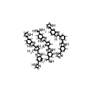 Cn1c(-c2nc3cc(-c4ncc[nH]4)ccc3[nH]2)ccc1-c1nc2cc(-c3ncc[nH]3)ccc2[nH]1.Cn1c(-c2nc3cc(C(=N)N)ccc3[nH]2)ccc1-c1nc2cc(C(=N)N)ccc2[nH]1.c1cc(-c2nc3cc(C4=NCCN4)ccc3[nH]2)nc(-c2nc3cc(C4=NCCN4)ccc3[nH]2)c1